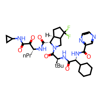 CCC[C@@H](NC(=O)[C@@H]1[C@H]2CCC(F)(F)C2CN1C(=O)[C@@H](NC(=O)[C@H](NC(=O)c1cnccn1)C1CCCCC1)C(C)(C)C)C(=O)C(=O)NC1CC1